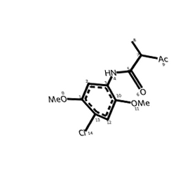 COc1cc(NC(=O)C(C)C(C)=O)c(OC)cc1Cl